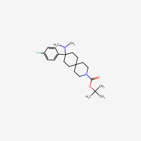 CN(C)C1(c2ccc(F)cc2)CCC2(CCN(C(=O)OC(C)(C)C)CC2)CC1